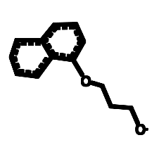 [O]CCCOc1cccc2ccccc12